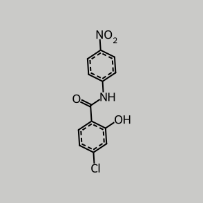 O=C(Nc1ccc([N+](=O)[O-])cc1)c1ccc(Cl)cc1O